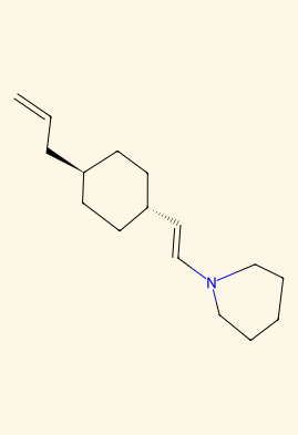 C=CC[C@H]1CC[C@H](C=CN2CCCCC2)CC1